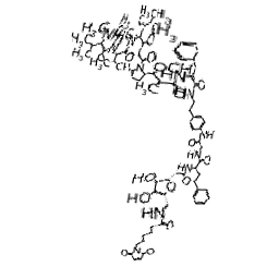 CC[C@H](C)C(C(CC(=O)N1CCCC1C(OC)C(C)C(=O)N[C@@H](Cc1ccccc1)C(=O)NCCc1ccc(NC(=O)CNC(=O)[C@@H](CCc2ccccc2)NC(=O)C[C@@H]2O[C@H](CNC(=O)CCCCCN3C(=O)C=CC3=O)C(O)C2O)cc1)OC)N(C)C(=O)[C@@H](NC(=O)C(C(C)C)N(C)C)C(C)C